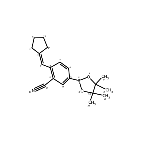 CC1(C)OB(c2ccc(C=C3CCCC3)c(C#N)c2)OC1(C)C